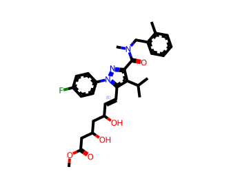 COC(=O)CC(O)CC(O)/C=C/c1c(C(C)C)c(C(=O)N(C)Cc2ccccc2C)nn1-c1ccc(F)cc1